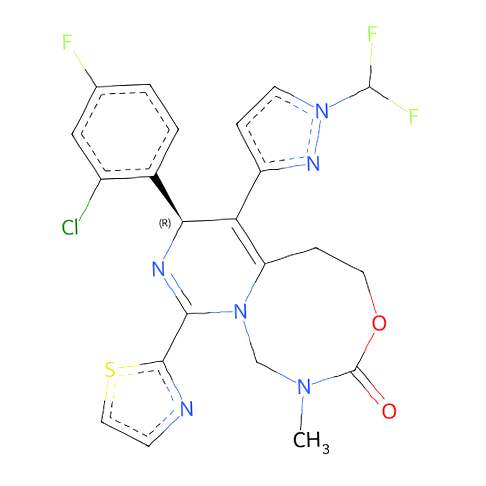 CN1CN2C(c3nccs3)=N[C@@H](c3ccc(F)cc3Cl)C(c3ccn(C(F)F)n3)=C2CCOC1=O